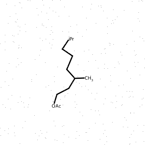 CC(=O)OCCC(C)CCCC(C)C